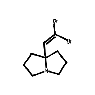 BrC(Br)=CC12CCCN1CCC2